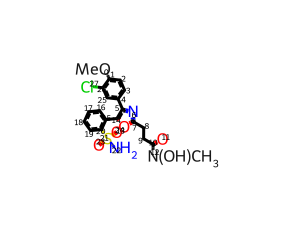 COc1ccc(-c2nc(CCC(=O)N(C)O)oc2-c2ccccc2S(N)(=O)=O)cc1Cl